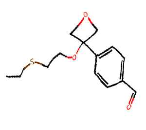 CCSCCOC1(c2ccc(C=O)cc2)COC1